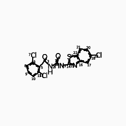 O=C(NC(=O)c1c(Cl)cccc1Cl)Nc1nc2cc(Cl)ccc2s1